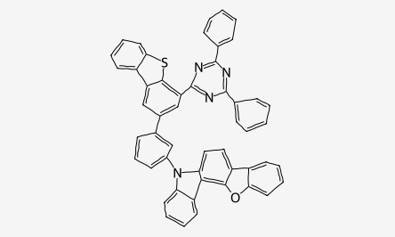 c1ccc(-c2nc(-c3ccccc3)nc(-c3cc(-c4cccc(-n5c6ccccc6c6c7oc8ccccc8c7ccc65)c4)cc4c3sc3ccccc34)n2)cc1